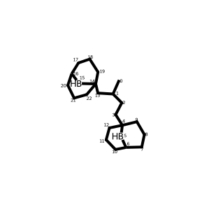 CC(CCC12BC(CCC1)CCC2)CC12BC(CCC1)CCC2